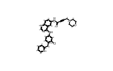 O=C(C#CCN1CCOCC1)Nc1ccc2ncnc(Nc3ccc(Cc4ccccn4)c(Cl)c3)c2c1